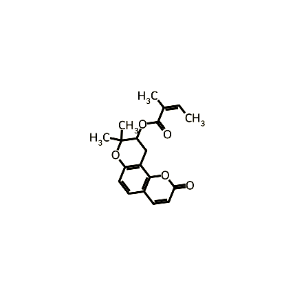 C/C=C(/C)C(=O)OC1Cc2c(ccc3ccc(=O)oc23)OC1(C)C